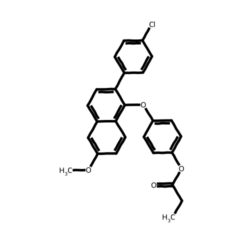 CCC(=O)Oc1ccc(Oc2c(-c3ccc(Cl)cc3)ccc3cc(OC)ccc23)cc1